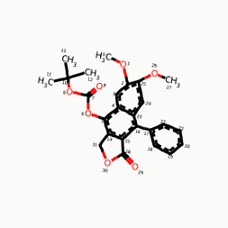 COc1cc2c(OC(=O)OC(C)(C)C)c3c(c(-c4ccccc4)c2cc1OC)C(=O)OC3